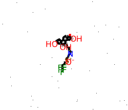 C=C1[C@H](O)CC2C3C(CC[C@]12C)c1ccc(O)cc1[C@@H](O)[C@H]3CCCCCN(C)CCC[S+]([O-])CCCC(F)(F)C(F)(F)F